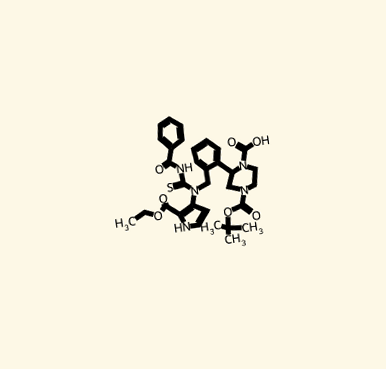 CCOC(=O)c1[nH]ccc1N(Cc1ccccc1C1CN(C(=O)OC(C)(C)C)CCN1C(=O)O)C(=S)NC(=O)c1ccccc1